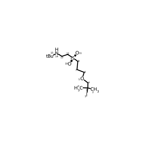 CC(C)(I)COCCCS(=O)(=O)CCNC(C)(C)C